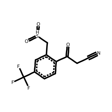 N#CCC(=O)c1ccc(C(F)(F)F)cc1C[SH](=O)=O